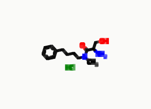 CN(CCCCc1ccccc1)C(=O)[C@H](N)CO.Cl